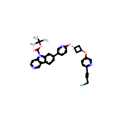 CC(C)(C)OC(=O)n1c2ccncc2c2ccc(-c3ccc(O[C@H]4C[C@H](Oc5ccc(C#CCBr)nc5)C4)nc3)cc21